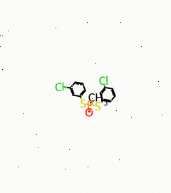 CP(=O)(Sc1cccc(Cl)c1)Sc1cccc(Cl)c1